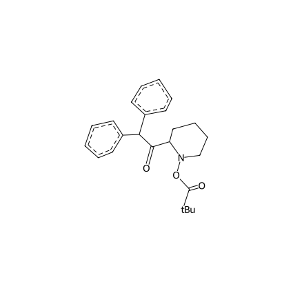 CC(C)(C)C(=O)ON1CCCCC1C(=O)C(c1ccccc1)c1ccccc1